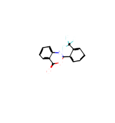 O=c1oc(-c2ccccc2C(F)(F)F)nc2ccccc12